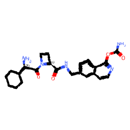 NC(=O)Oc1nccc2cc(CNC(=O)[C@@H]3CCN3C(=O)[C@H](N)C3CCCCC3)ccc12